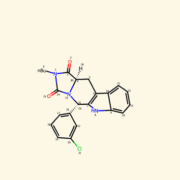 CCCCN1C(=O)[C@H]2Cc3c([nH]c4ccccc34)[C@H](c3cccc(Cl)c3)N2C1=O